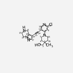 CC1(CO)CCN(c2cc(Cl)ncc2C#Cc2cnn3c2CNCC3)CC1